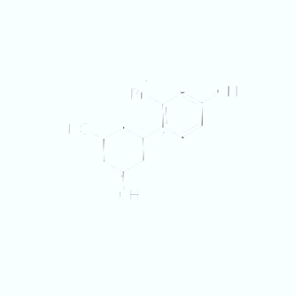 Cc1ccc(C2CC(C)CC(C)C2)c(Br)c1